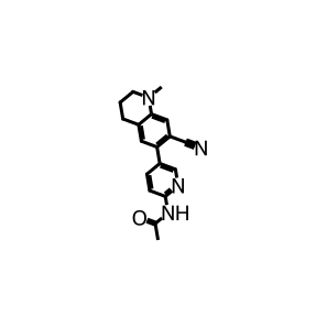 CC(=O)Nc1ccc(-c2cc3c(cc2C#N)N(C)CCC3)cn1